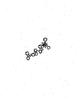 c1ccc(-c2nc(-c3ccccc3)nc(-c3cccc4c3sc3cccc(-c5cccc6c5oc5ccc(-n7c8ccccc8c8ccccc87)cc56)c34)n2)cc1